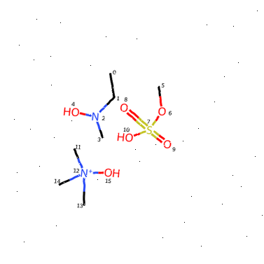 CCN(C)O.COS(=O)(=O)O.C[N+](C)(C)O